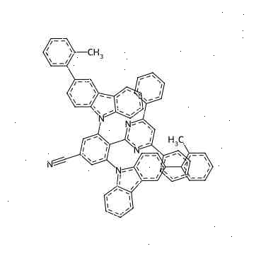 Cc1ccccc1-c1ccc2c(c1)c1ccccc1n2-c1cc(C#N)cc(-n2c3ccccc3c3cc(-c4ccccc4C)ccc32)c1-c1nc(-c2ccccc2)cc(-c2ccccc2)n1